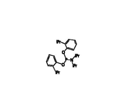 CC(C)c1ccccc1OP(Oc1ccccc1C(C)C)N(C(C)C)C(C)C